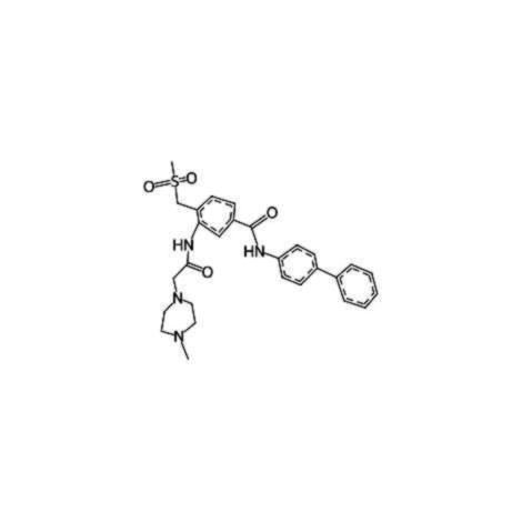 CN1CCN(CC(=O)Nc2cc(C(=O)Nc3ccc(-c4ccccc4)cc3)ccc2CS(C)(=O)=O)CC1